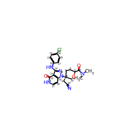 CN(C)C(=O)C1CC[C@@](CC#N)(n2nc(Nc3ccc(Cl)cc3)c3c(=O)[nH]ccc32)CO1